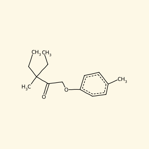 CCC(C)(CC)C(=O)COc1ccc(C)cc1